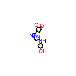 COc1ccc(-c2cnc3ccc(NC4CCC(O)CC4)nn23)cc1OC